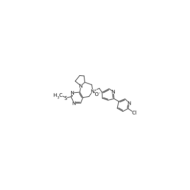 CSc1ncc2c(n1)N1CCCC1C[N+]([O-])(Cc1ccc(-c3ccc(Cl)nc3)nc1)C2